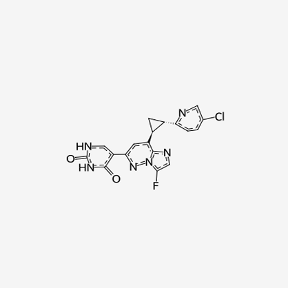 O=c1[nH]cc(-c2cc([C@H]3C[C@@H]3c3ccc(Cl)cn3)c3ncc(F)n3n2)c(=O)[nH]1